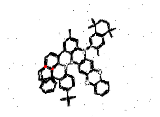 Cc1cc2c3c(c1)N(c1cc4c(cc1C)C(C)(C)CCC4(C)C)c1cc4c(cc1B3N(c1ccc(C(C)(C)C)cc1-c1ccccc1)c1c-2ccc2oc3ccccc3c12)Oc1ccccc1O4